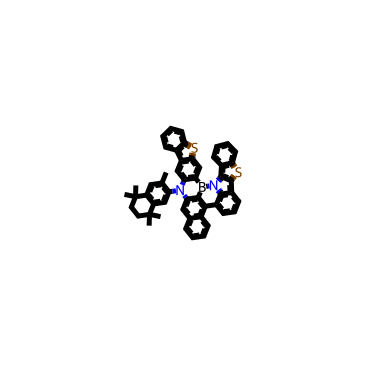 Cc1cc2c(cc1N1c3cc4c(cc3B3c5c1cc1ccccc1c5-c1cccc5c6sc7ccccc7c6n3c15)sc1ccccc14)C(C)(C)CCC2(C)C